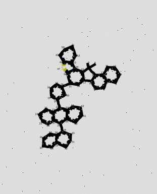 CC1(C)c2c(ccc3ccccc23)-c2cc(-c3cccc(-c4c5ccccc5c(-c5cccc6ccccc56)c5ccccc45)c3)c3sc4ccccc4c3c21